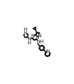 c1ccc(-c2ccc(CNc3cc(N[C@@H]4CCNC4)nc4c(C5CC5)cnn34)cc2)nc1